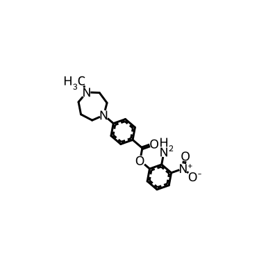 CN1CCCN(c2ccc(C(=O)Oc3cccc([N+](=O)[O-])c3N)cc2)CC1